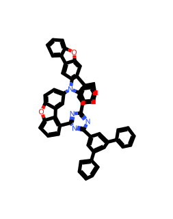 c1ccc(-c2cc(-c3ccccc3)cc(-c3nc(-c4ccccc4)nc(-c4cccc5oc6ccc(-n7c8ccccc8c8cc9oc%10ccccc%10c9cc87)cc6c45)n3)c2)cc1